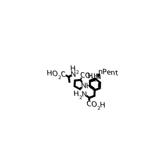 CC(N)C(=O)O.CCCCCN.NC(Cc1ccccc1)C(=O)O.O=C(O)[C@@H]1CCCN1